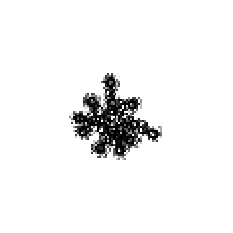 Cc1cc(OCc2ccccc2)cc(O)c1C(=O)OCC1O[C@H](O[C@H]2OC(COC(=O)c3c(C)cc(OCc4ccccc4)cc3OCc3ccccc3)[C@@H](OCc3ccccc3)C(OCc3ccccc3)C2OCc2ccccc2)C(OCc2ccccc2)C(OCc2ccccc2)[C@@H]1OCc1ccccc1